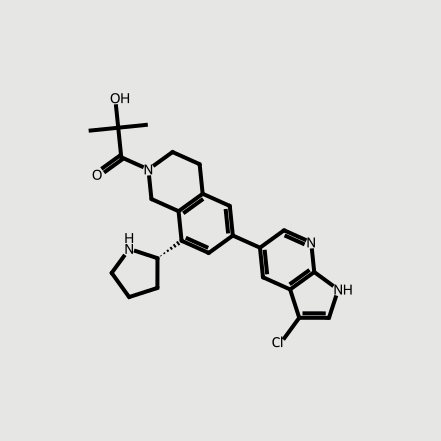 CC(C)(O)C(=O)N1CCc2cc(-c3cnc4[nH]cc(Cl)c4c3)cc([C@@H]3CCCN3)c2C1